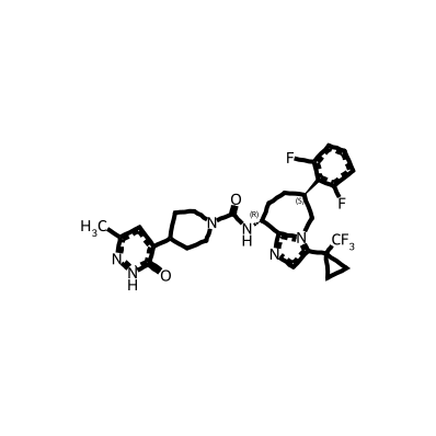 Cc1cc(C2CCN(C(=O)N[C@@H]3CC[C@@H](c4c(F)cccc4F)Cn4c(C5(C(F)(F)F)CC5)cnc43)CC2)c(=O)[nH]n1